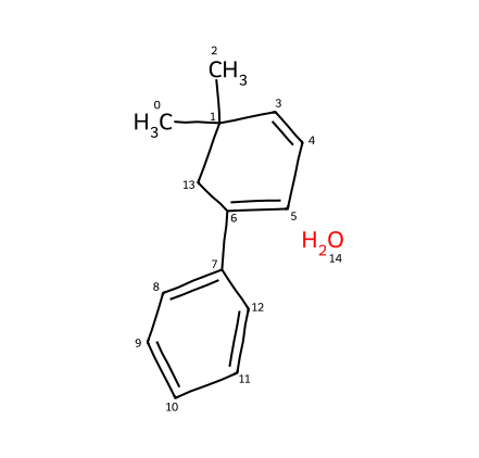 CC1(C)C=CC=C(c2ccccc2)C1.O